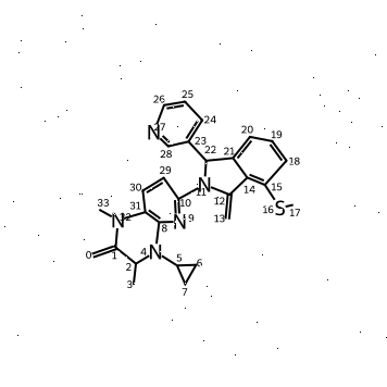 C=C1C(C)N(C2CC2)c2nc(N3C(=C)c4c(SC)cccc4C3c3cccnc3)ccc2N1C